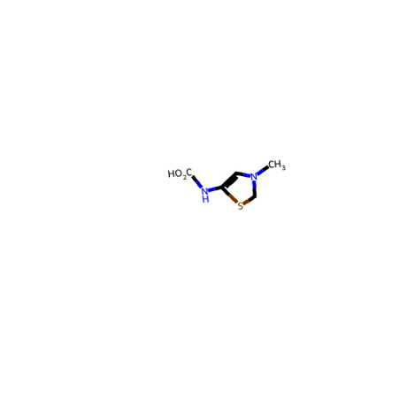 CN1C=C(NC(=O)O)SC1